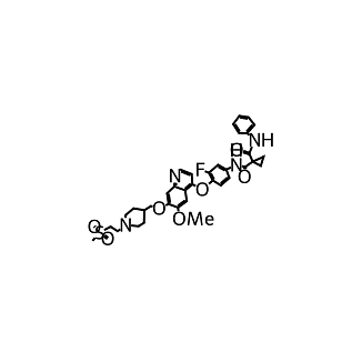 COc1cc2c(Oc3ccc(NC(=O)C4(C(=O)Nc5ccccc5)CC4)cc3F)ccnc2cc1OCC1CCN(CCS(C)(=O)=O)CC1